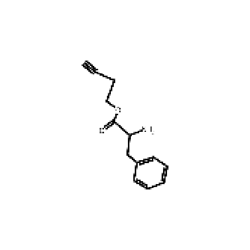 C#CCCOC(=O)C(N)Cc1ccccc1